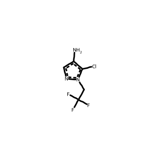 Nc1cnn(CC(F)(F)F)c1Cl